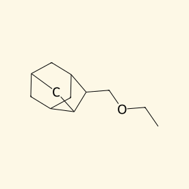 CCOCC1C2CC3CC(C2)C1C3